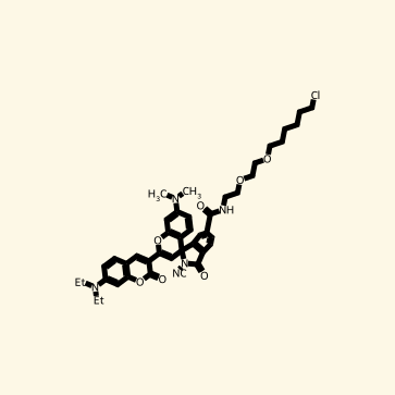 CCN(CC)c1ccc2cc(C3=CC4(c5ccc(N(C)C)cc5O3)c3cc(C(=O)NCCOCCOCCCCCCCl)ccc3C(=O)N4C#N)c(=O)oc2c1